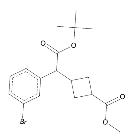 COC(=O)C1CC(C(C(=O)OC(C)(C)C)c2cccc(Br)c2)C1